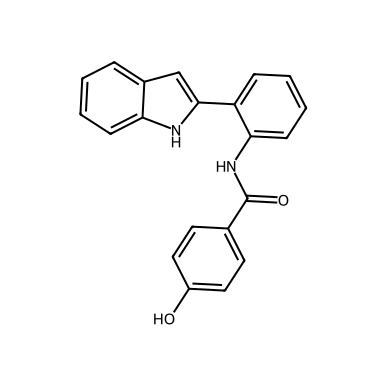 O=C(Nc1ccccc1-c1cc2ccccc2[nH]1)c1ccc(O)cc1